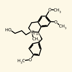 COc1ccc(C[C@@H]2c3cc(OC)c(OC)cc3CC[N@@+]2(C)CCCO)cc1